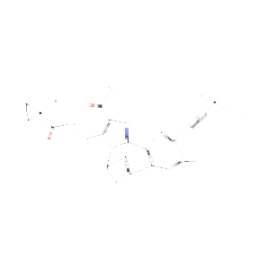 CC(C)(O)C#Cc1cc2c(cc1F)C1=CC(C1)n1c-2nc(C(N)=O)c1CNC(=O)C1(O)CC1